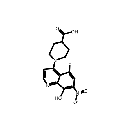 O=C(O)C1CCN(c2ccnc3c(O)c([N+](=O)[O-])cc(F)c23)CC1